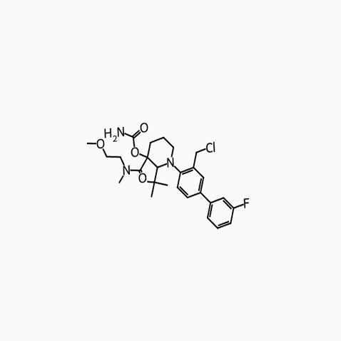 COCCN(C)C(=O)C1(OC(N)=O)CCCN(c2ccc(-c3cccc(F)c3)cc2CCl)C1C(C)(C)C